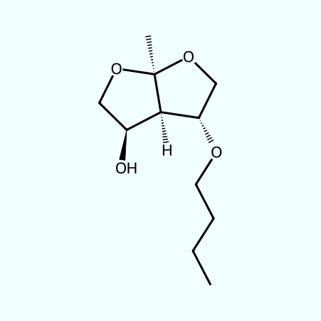 CCCCO[C@H]1CO[C@]2(C)OC[C@H](O)[C@H]12